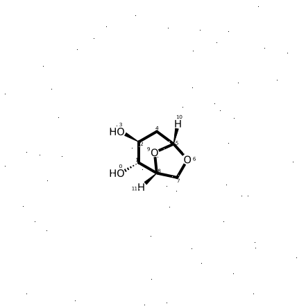 O[C@@H]1[C@@H](O)C[C@@H]2OC[C@H]1O2